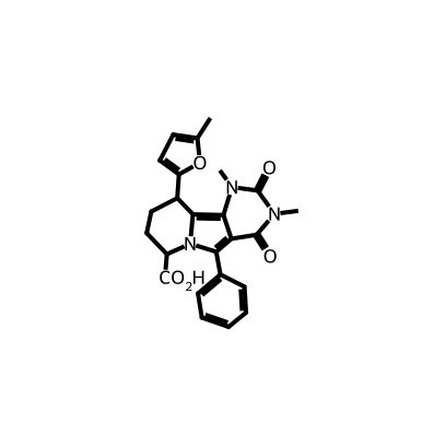 Cc1ccc(C2CCC(C(=O)O)n3c(-c4ccccc4)c4c(=O)n(C)c(=O)n(C)c4c32)o1